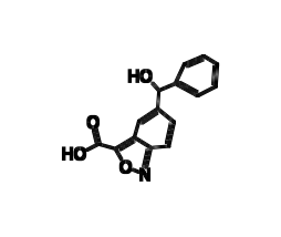 O=C(O)c1onc2ccc(C(O)c3ccccc3)cc12